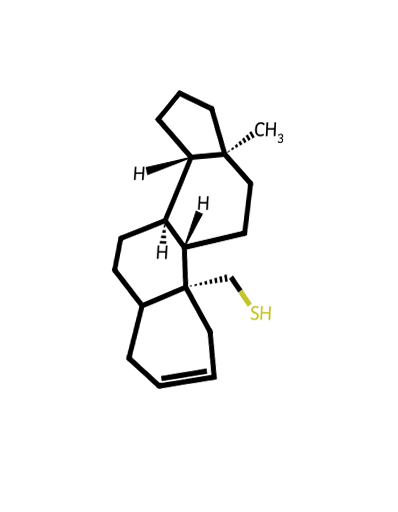 C[C@@]12CCC[C@H]1[C@@H]1CCC3CC=CC[C@]3(CS)[C@H]1CC2